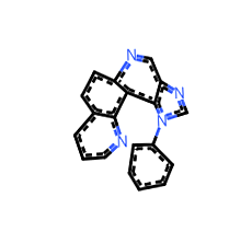 c1ccc(-n2cnc3cnc4ccc5cccnc5c4c32)cc1